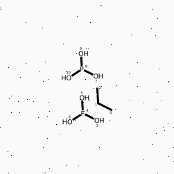 CCC.OP(O)O.OP(O)O